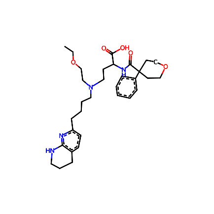 CCOCCN(CCCCc1ccc2c(n1)NCCC2)CCC(NC(=O)C1(c2ccccc2)CCOCC1)C(=O)O